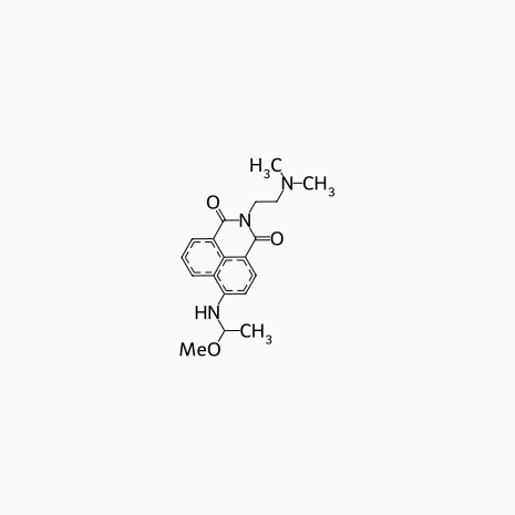 COC(C)Nc1ccc2c3c(cccc13)C(=O)N(CCN(C)C)C2=O